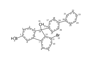 Bc1ccc2c(c1)-c1cccc(Br)c1C2(C)c1ccc(-c2ccccc2)cc1